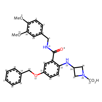 COc1ccc(CNC(=O)c2cc(OCc3ccccc3)ccc2NC2CN(C(=O)O)C2)cc1OC